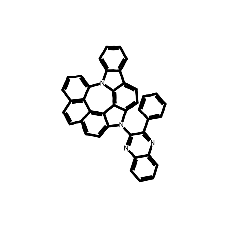 c1ccc(-c2nc3ccccc3nc2-n2c3ccc4ccc5cccc6c5c4c3c3c2ccc2c4ccccc4n6c23)cc1